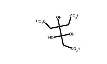 O=C(O)CC(O)(O)C(O)(CC(=O)O)CC(=O)O